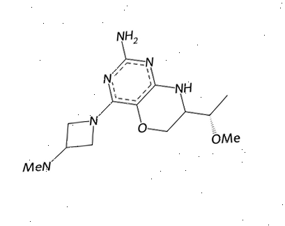 CNC1CN(c2nc(N)nc3c2OCC([C@H](C)OC)N3)C1